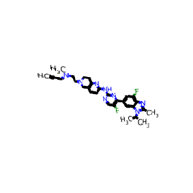 C#CCN(C)CCN1CCc2nc(Nc3ncc(F)c(-c4cc(F)c5nc(C)n(C(C)C)c5c4)n3)ccc2C1